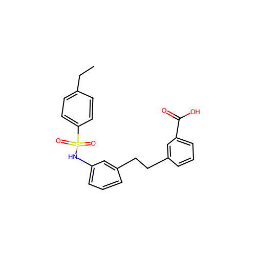 CCc1ccc(S(=O)(=O)Nc2cccc(CCc3cccc(C(=O)O)c3)c2)cc1